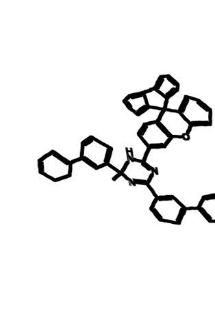 CC1(c2cccc(C3=CC=CCC3)c2)N=C(c2cccc(-c3ccccc3)c2)N=C(c2ccc3c(c2)Oc2ccccc2C32c3ccccc3-c3ccccc32)N1